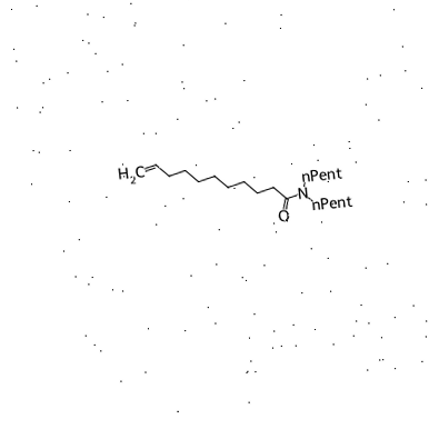 C=CCCCCCCCCC(=O)N(CCCCC)CCCCC